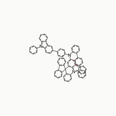 c1ccc(-c2ccc(-c3ccccc3N(c3ccc(-c4ccc5c(c4)c4ccccc4n5-c4ccccc4)cc3)c3cc4c5c(c3)c3ccccc3n5-c3ccccc3C43c4ccccc4-c4ccccc43)cc2)cc1